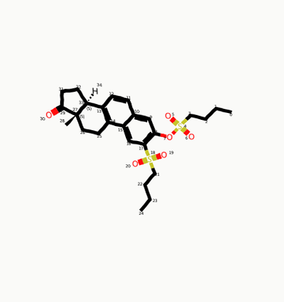 CCCCS(=O)(=O)Oc1cc2ccc3c(c2cc1S(=O)(=O)CCCC)CC[C@]1(C)C(=O)CC[C@@H]31